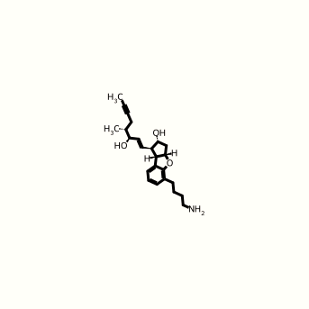 CC#CC[C@@H](C)[C@H](O)/C=C/[C@@H]1[C@H]2c3cccc(CCCCN)c3O[C@H]2C[C@H]1O